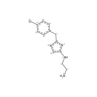 NCCNc1nc(Cc2ccc(Cl)cc2)ns1